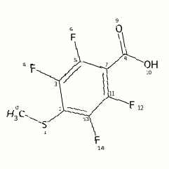 CSc1c(F)c(F)c(C(=O)O)c(F)c1F